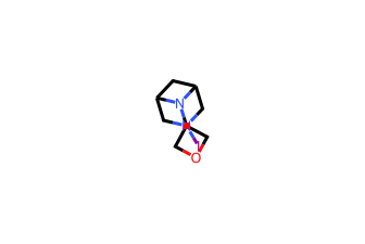 IN1CC2CC(C1)N2C1COC1